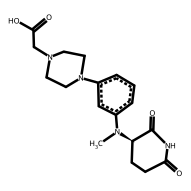 CN(c1cccc(N2CCN(CC(=O)O)CC2)c1)[C@@H]1CCC(=O)NC1=O